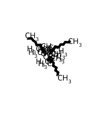 CCCCCCCC(C)(C)C(C)(C)OP(=O)(OC(C)(C)C(C)(C)CCCCCCC)OC(C)(C)C(C)(C)CCCCCCC